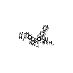 C=CC(=O)Nc1cc(Nc2cc(-c3ccc(NC)c(C)c3)ncn2)c(CC)cc1N1CCC(N2CCOCC2)CC1